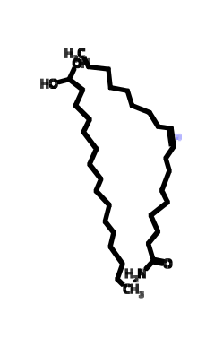 CCCCCCCC/C=C\CCCCCCCC(N)=O.CCCCCCCCCCCCCCCC(O)O